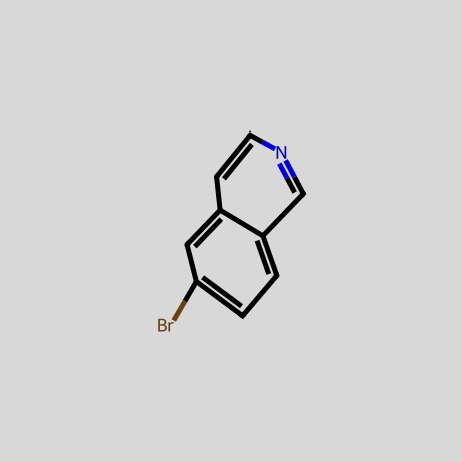 Brc1ccc2cn[c]cc2c1